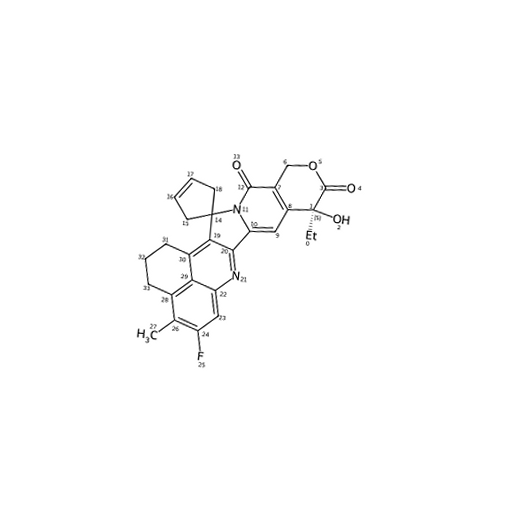 CC[C@@]1(O)C(=O)OCc2c1cc1n(c2=O)C2(CC=CC2)c2c-1nc1cc(F)c(C)c3c1c2CCC3